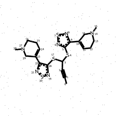 CC#CC(Sc1nsnc1C1=CCCN(C)C1)Sc1nsnc1C1=CCCN(C)C1